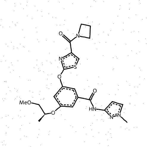 COC[C@H](C)Oc1cc(Oc2nc(C(=O)N3CCC3)cs2)cc(C(=O)Nc2ccn(C)n2)c1